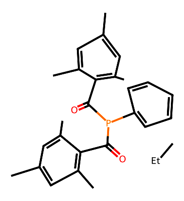 CCC.Cc1cc(C)c(C(=O)P(C(=O)c2c(C)cc(C)cc2C)c2ccccc2)c(C)c1